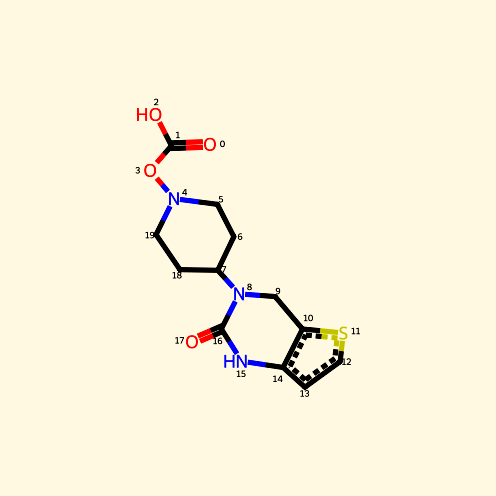 O=C(O)ON1CCC(N2Cc3sccc3NC2=O)CC1